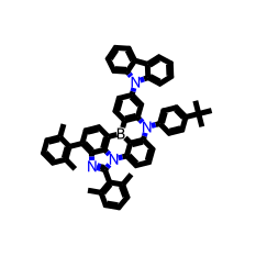 Cc1cccc(C)c1-c1ccc2c3c1nc(-c1c(C)cccc1C)n3-c1cccc3c1B2c1ccc(-n2c4ccccc4c4ccccc42)cc1N3c1ccc(C(C)(C)C)cc1